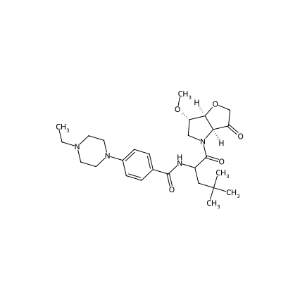 CCN1CCN(c2ccc(C(=O)NC(CC(C)(C)C)C(=O)N3C[C@H](OC)[C@H]4OCC(=O)[C@H]43)cc2)CC1